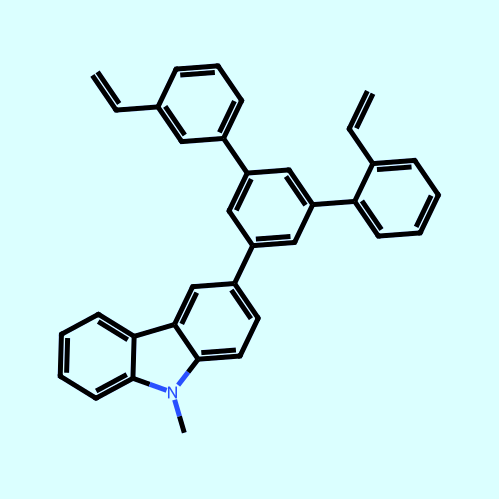 C=Cc1cccc(-c2cc(-c3ccc4c(c3)c3ccccc3n4C)cc(-c3ccccc3C=C)c2)c1